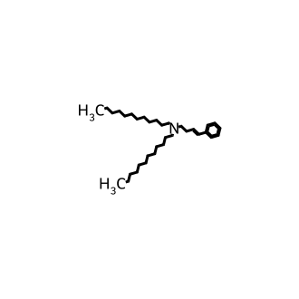 CCCCCCCCCCCCN(CCC=Cc1ccccc1)CCCCCCCCCCCC